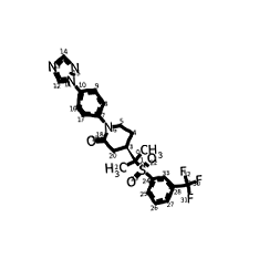 CC(C)([C@@H]1CCN(c2ccc(-n3cncn3)cc2)C(=O)C1)S(=O)(=O)c1cccc(C(F)(F)F)c1